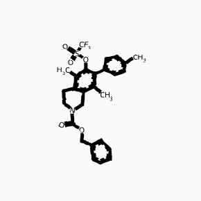 Cc1ccc(-c2c(C)c3c(c(C)c2OS(=O)(=O)C(F)(F)F)CCN(C(=O)OCc2ccccc2)C3)cc1